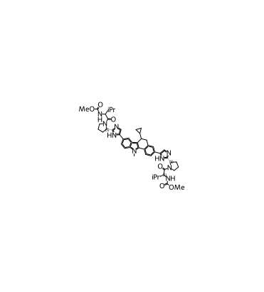 COC(=O)NC(C(=O)N1CCC[C@H]1c1ncc(-c2ccc3c(c2)c2c(n3C)-c3ccc(-c4cnc([C@@H]5CCCN5C(=O)[C@@H](NC(=O)OC)C(C)C)[nH]4)cc3CC2C2CC2)[nH]1)C(C)C